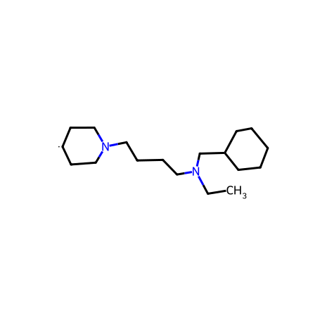 CCN(CCCCN1CC[CH]CC1)CC1CCCCC1